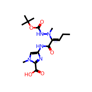 CC/C=C(/C(=O)Nc1cn(C)c(C(=O)O)n1)N(C)NC(=O)OC(C)(C)C